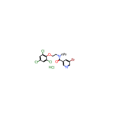 CCCN(CCOc1c(Cl)cc(Cl)cc1Cl)C(=O)c1cncc(Br)c1.Cl